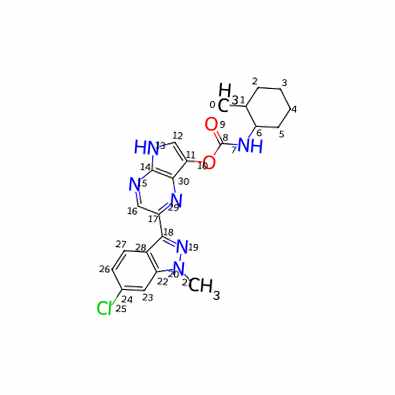 CC1CCCCC1NC(=O)Oc1c[nH]c2ncc(-c3nn(C)c4cc(Cl)ccc34)nc12